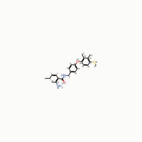 CC/C=C\C(C(=O)NCc1ccc(Oc2ccc(SC)c(C)c2C)cc1)=C(/C)N